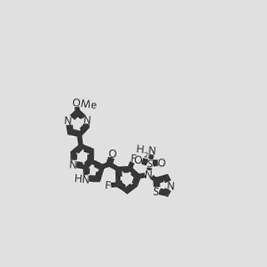 COc1ncc(-c2cnc3[nH]cc(C(=O)c4c(F)ccc(N(c5cncs5)S(N)(=O)=O)c4F)c3c2)cn1